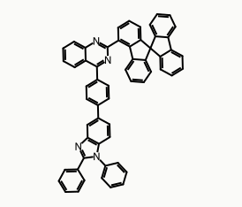 c1ccc(-c2nc3cc(-c4ccc(-c5nc(-c6cccc7c6-c6ccccc6C76c7ccccc7-c7ccccc76)nc6ccccc56)cc4)ccc3n2-c2ccccc2)cc1